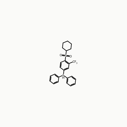 O=S(=O)(c1ccc([SH](c2ccccc2)c2ccccc2)cc1C(F)(F)F)C1CCCCC1